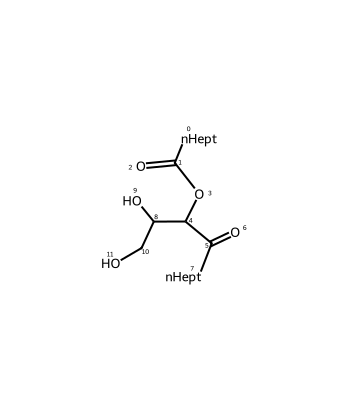 CCCCCCCC(=O)OC(C(=O)CCCCCCC)C(O)CO